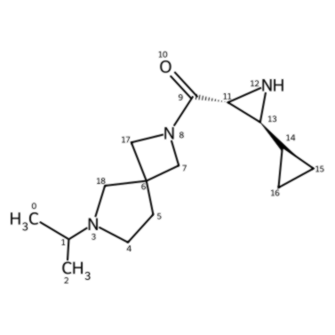 CC(C)N1CCC2(CN(C(=O)[C@@H]3N[C@H]3C3CC3)C2)C1